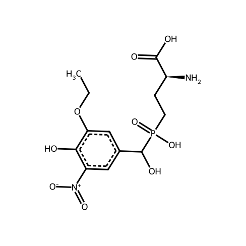 CCOc1cc(C(O)P(=O)(O)CC[C@H](N)C(=O)O)cc([N+](=O)[O-])c1O